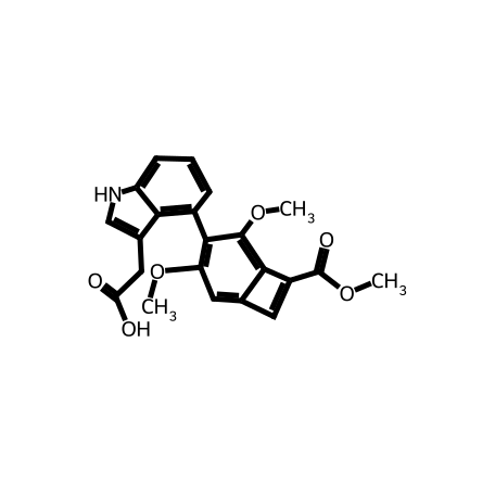 COC(=O)C1=Cc2cc(OC)c(-c3cccc4[nH]cc(CC(=O)O)c34)c(OC)c21